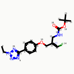 CCn1nnc(-c2ccc(OC/C(=C/F)CNC(=O)OC(C)(C)C)cc2)n1